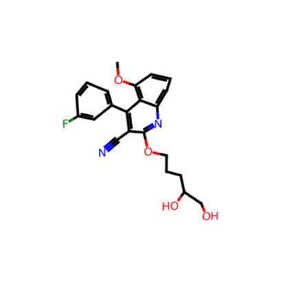 COc1cccc2nc(OCCCC(O)CO)c(C#N)c(-c3cccc(F)c3)c12